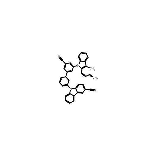 C=C/C=C\c1c(C)c2ccccc2n1-c1cc(C#N)cc(C2C=CC=C(n3c4ccccc4c4cc(C#N)ccc43)C2)c1